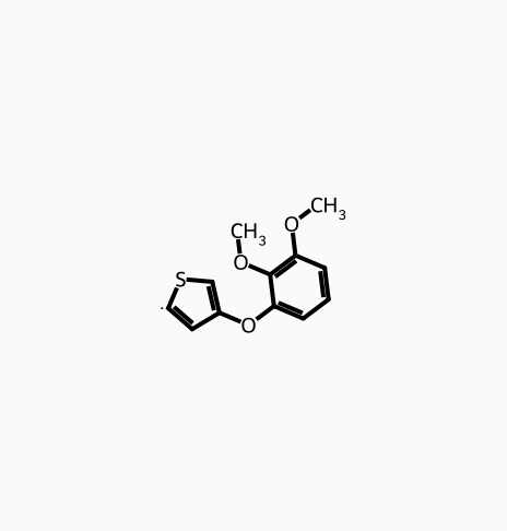 COc1cccc(Oc2c[c]sc2)c1OC